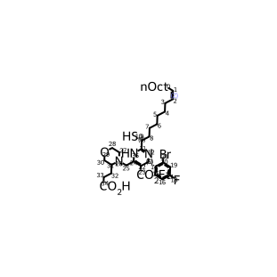 CCCCCCCC/C=C\CCCCCC[C@@H](S)C1=N[C@H](c2ccc(F)cc2Br)C(C(=O)OCC)=C(CN2CCOCC2CCC(=O)O)N1